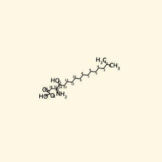 CC(C)CCCCCCCCCCC[C@@H](O)[C@@H](N)CS(=O)(=O)O